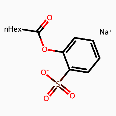 CCCCCCC(=O)Oc1ccccc1S(=O)(=O)[O-].[Na+]